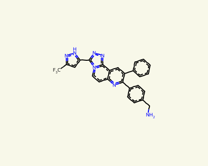 NCc1ccc(-c2nc3ccn4c(-c5cc(C(F)(F)F)n[nH]5)nnc4c3cc2-c2ccccc2)cc1